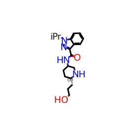 CC(C)n1nc(C(=O)NC2CC[C@@H](CCCO)NC2)c2ccccc21